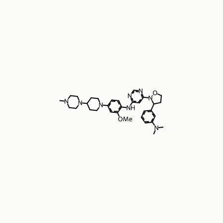 COc1cc(N2CCC(N3CCN(C)CC3)CC2)ccc1Nc1cc(N2OCCC2c2cccc(N(C)C)c2)ncn1